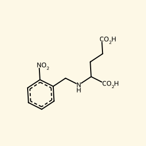 O=C(O)CCC(NCc1ccccc1[N+](=O)[O-])C(=O)O